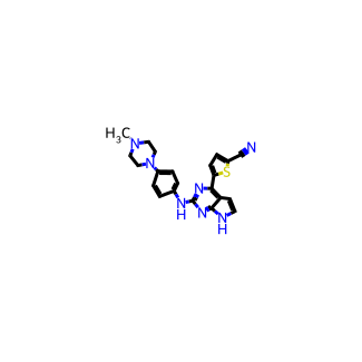 CN1CCN(c2ccc(Nc3nc(-c4ccc(C#N)s4)c4cc[nH]c4n3)cc2)CC1